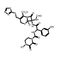 CCN1CCN(C(=O)NC(C(=O)N[C@]2(NC=O)C(=O)N3C(C(=O)O)=C(CSc4nncs4)CS[C@H]32)c2cccc(O)c2)C(=O)C1=O